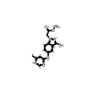 CC(=O)c1nn(CC(=O)OC(C)(C)C)c2ccc(Oc3cc(C)ncn3)cc12